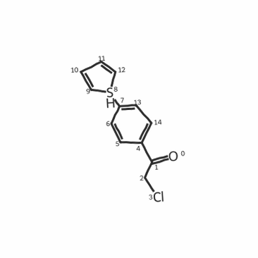 O=C(CCl)c1ccc([SH]2C=CC=C2)cc1